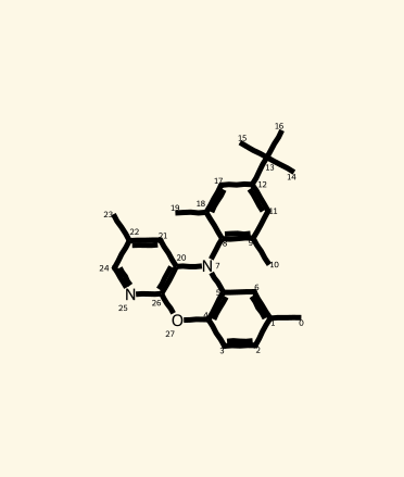 Cc1ccc2c(c1)N(c1c(C)cc(C(C)(C)C)cc1C)c1cc(C)cnc1O2